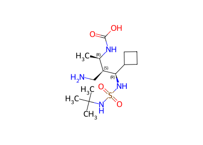 C[C@@H](NC(=O)O)[C@H](CN)[C@H](NS(=O)(=O)NC(C)(C)C)C1CCC1